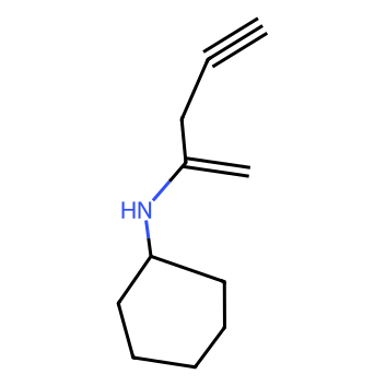 C#CCC(=C)NC1CCCCC1